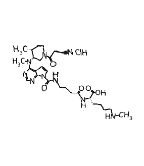 CNCCCC[C@H](NC(=O)CCCNC(=O)n1ccc2c(N(C)[C@H]3CN(C(=O)CC#N)CC[C@H]3C)ncnc21)C(=O)O.Cl